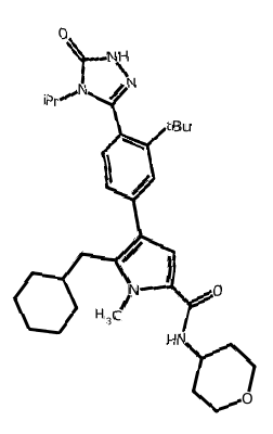 CC(C)n1c(-c2ccc(-c3cc(C(=O)NC4CCOCC4)n(C)c3CC3CCCCC3)cc2C(C)(C)C)n[nH]c1=O